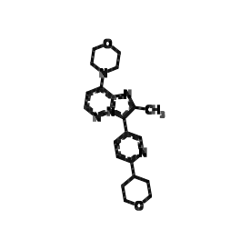 Cc1nc2c(N3CCOCC3)ccnn2c1-c1ccc(C2CCOCC2)nc1